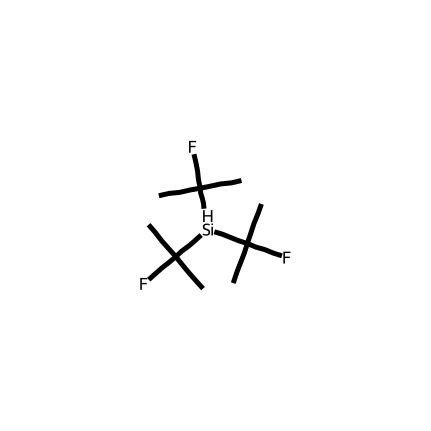 CC(C)(F)[SiH](C(C)(C)F)C(C)(C)F